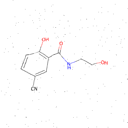 N#Cc1ccc(O)c(C(=O)NCCO)c1